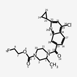 CC1CN(C(=O)OCCF)CCN1C(=O)c1ccc2c(Cl)cc(C3CC3)nc2c1